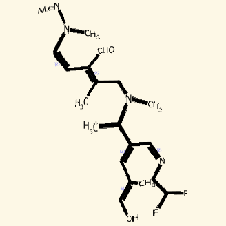 CNN(C)/C=C\C(C=O)=C(/C)CN(C)C(C)C(/C=N\CC(F)F)=C/C(C)=C/O